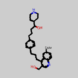 COc1ccc2ncc(CO)c(CCCc3ccc(CCCC(O)C4CCNCC4)cc3)c2c1